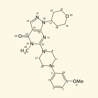 COc1cccc(N2CCN(c3nc4c(cnn4C4CCOCC4)c(=O)n3C)CC2)c1